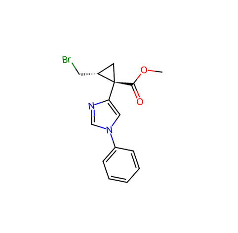 COC(=O)[C@]1(c2cn(-c3ccccc3)cn2)C[C@H]1CBr